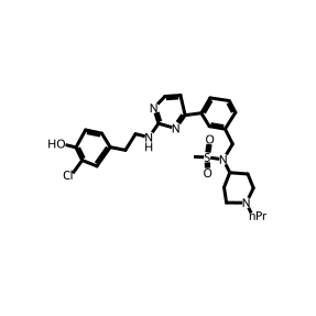 CCCN1CCC(N(Cc2cccc(-c3ccnc(NCCc4ccc(O)c(Cl)c4)n3)c2)S(C)(=O)=O)CC1